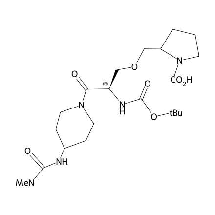 CNC(=O)NC1CCN(C(=O)[C@@H](COCC2CCCN2C(=O)O)NC(=O)OC(C)(C)C)CC1